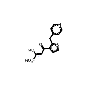 O=C(O)/C(O)=C/C(=O)c1ccsc1Cc1ccncc1